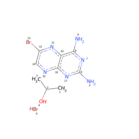 Br.CC(C)O.Nc1nc(N)c2nc(Br)cnc2n1